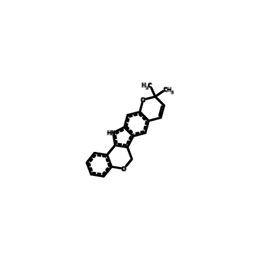 CC1(C)C=Cc2cc3c4c([nH]c3cc2O1)-c1ccccc1OC4